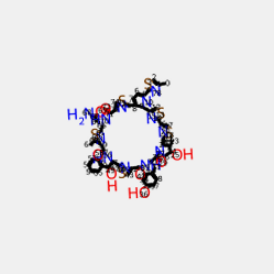 Cc1csc(-c2ccc3c(n2)-c2csc(n2)-c2csc(n2)[C@@H]2[C@@H](C)[C@@H](O)CN2C(=O)[C@H](Cc2ccc(O)cc2)NC(=O)c2csc(n2)[C@H]([C@H](O)c2ccccc2)NC(=O)c2nc(sc2C)[C@H](CC(N)=O)NC(=O)c2csc-3n2)n1